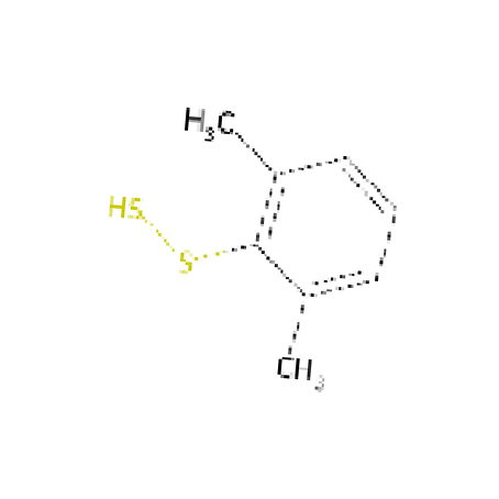 Cc1cccc(C)c1SS